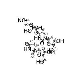 Cc1cn([C@H]2C[C@H](O)[C@@H](CO)O2)c(=O)[nH]c1=O.Cc1cn([C@H]2C[C@H](O)[C@@H](CO)O2)c(=O)[nH]c1=O.N#CCCOP(O)O